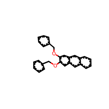 c1ccc(COc2cc3cc4ccccc4cc3cc2OCc2ccccc2)cc1